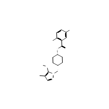 CCOC(=O)Oc1c(C)cnn1C[C@H]1CC[C@H](NC(=O)c2cc(C(F)(F)F)ccc2Cl)CC1